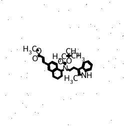 COC(=O)/C=C/c1ccc2c(c1)CCCC2N(CCc1c(C)[nH]c2ccccc12)C(=O)OC(C)(C)C